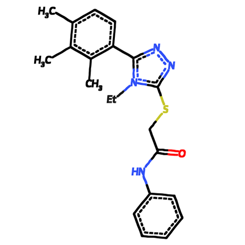 CCn1c(SCC(=O)Nc2ccccc2)nnc1-c1ccc(C)c(C)c1C